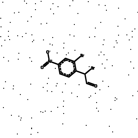 O=CC(Br)c1ccc([N+](=O)[O-])cc1Br